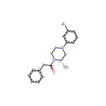 CC(C)c1c[c]cc(N2CCN(C(=O)Cc3ccccc3)[C@@H](C)C2)c1